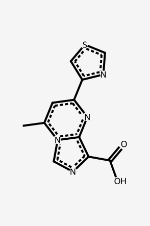 Cc1cc(-c2cscn2)nc2c(C(=O)O)ncn12